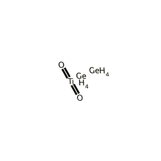 [GeH4].[GeH4].[O]=[Ti]=[O]